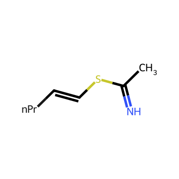 CCC/C=C/SC(C)=N